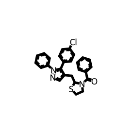 O=C(c1ccccc1)N1CCSC1Cc1cnn(-c2ccccc2)c1-c1ccc(Cl)cc1